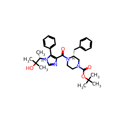 C[C@H](n1cnc(C(=O)N2CCN(C(=O)OC(C)(C)C)C[C@H]2Cc2ccccc2)c1-c1ccccc1)C(C)(C)O